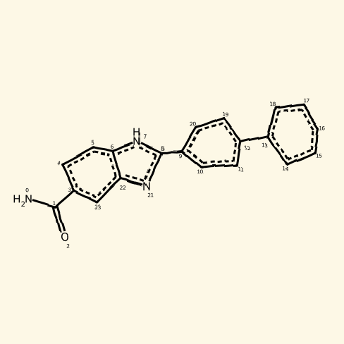 NC(=O)c1ccc2[nH]c(-c3ccc(-c4ccccc4)cc3)nc2c1